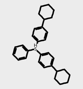 c1ccc([SH](c2ccc(C3CCCCC3)cc2)c2ccc(C3CCCCC3)cc2)cc1